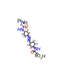 CCN(CC)CC(=O)Nc1ccc(/N=N/c2ccc(NC(=O)CS(=O)(=O)O)cc2)cc1